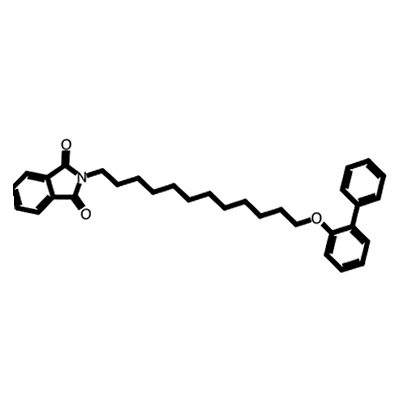 O=C1c2ccccc2C(=O)N1CCCCCCCCCCCCOc1ccccc1-c1ccccc1